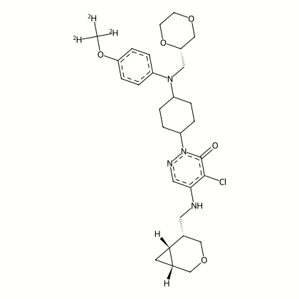 [2H]C([2H])([2H])Oc1ccc(N(C[C@H]2COCCO2)C2CCC(n3ncc(NC[C@@H]4COC[C@@H]5C[C@H]45)c(Cl)c3=O)CC2)cc1